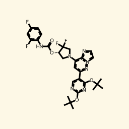 CC(C)(C)Oc1ncc(-c2cc(N3C[C@H](OC(=O)Nc4ccc(F)cc4F)C(F)(F)C3)c3nccn3n2)c(OC(C)(C)C)n1